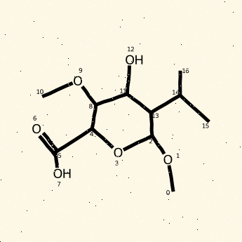 COC1OC(C(=O)O)C(OC)C(O)C1C(C)C